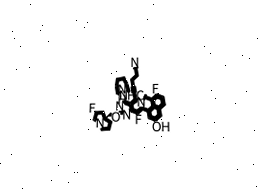 C#Cc1c(F)ccc2cc(O)cc(-c3nc(C#CCCC#N)c4c(N5CC6CCC(C5)N6)nc(OC[C@@]56CCCN5C[C@H](F)C6)nc4c3F)c12